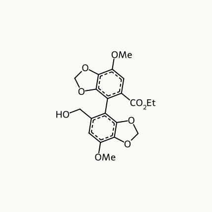 CCOC(=O)c1cc(OC)c2c(c1-c1c(CO)cc(OC)c3c1OCO3)OCO2